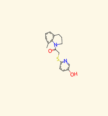 Cc1cccc2c1N(C(=O)CSc1ccc(O)cn1)CCC2